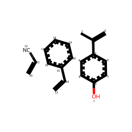 C=C(C)c1ccc(O)cc1.C=CC#N.C=Cc1ccccc1